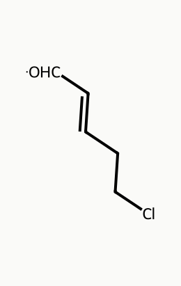 O=[C]C=CCCCl